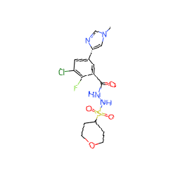 Cn1cnc(-c2cc(Cl)c(F)c(C(=O)NNS(=O)(=O)C3CCOCC3)c2)c1